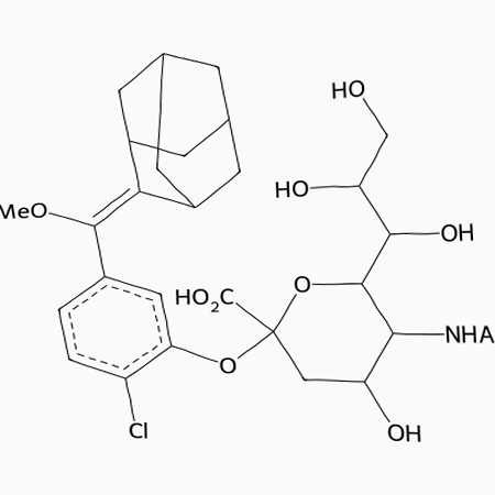 COC(=C1C2CC3CC(C2)CC1C3)c1ccc(Cl)c(OC2(C(=O)O)CC(O)C(NC(C)=O)C(C(O)C(O)CO)O2)c1